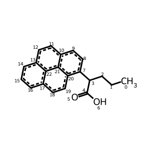 CCCC(C(=O)O)c1ccc2ccc3cccc4ccc1c2c34